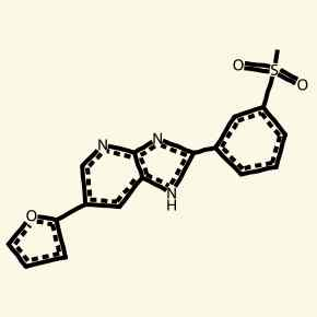 CS(=O)(=O)c1cccc(-c2nc3ncc(-c4ccco4)cc3[nH]2)c1